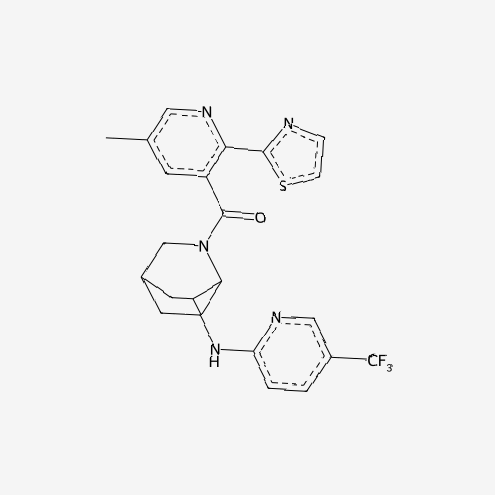 Cc1cnc(-c2nccs2)c(C(=O)N2CC3CCC2C(Nc2ccc(C(F)(F)F)cn2)C3)c1